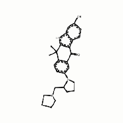 CC1(C)c2ccc(N3CCCC3CN3CCCC3)cc2C(=O)c2c1[nH]c1cc(C#N)ccc21